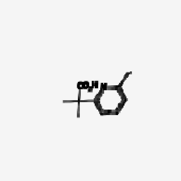 [CH2]c1cccc(C(C)(C)C(=O)O)n1